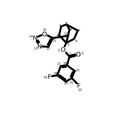 O=C(OC12CCC(CC1)CC2c1cnno1)c1cc(F)cc(F)c1